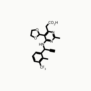 C#CC(Nc1nc(C)nc(CC(=O)O)c1C1OCCO1)c1cccc(C(F)(F)F)c1C